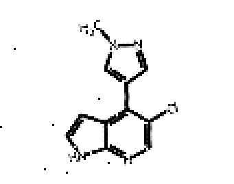 Cn1cc(-c2c(Cl)cnc3[nH]ccc23)cn1